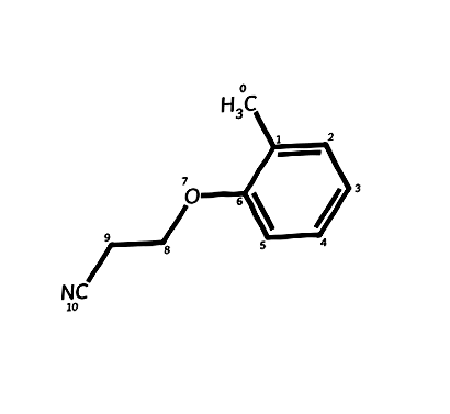 Cc1ccccc1OCCC#N